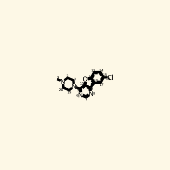 CN1CCN(c2ncnc3c2oc2ccc(Cl)cc23)CC1